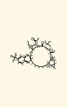 CC[C@@H]1[C@@H]2CN(C(=O)[C@H](C(C)(C)C)NC(=O)O[C@@H]3CC4CC4[C@H]3CCCCCc3nc4ccc(C(F)(F)F)cc4nc3O2)[C@@H]1C(C)=O